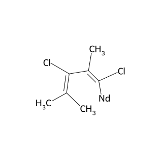 CC(C)=C(Cl)C(C)=[C](Cl)[Nd]